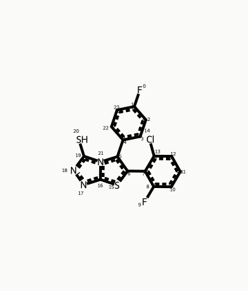 Fc1ccc(-c2c(-c3c(F)cccc3Cl)sc3nnc(S)n23)cc1